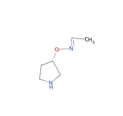 C/C=N/O[C@H]1CCNC1